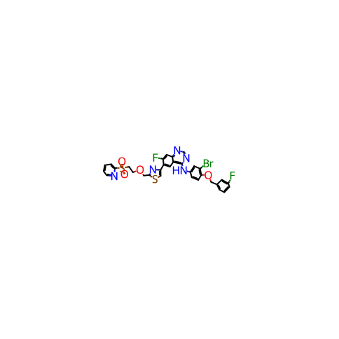 O=S(=O)(CCOCc1nc(-c2cc3c(Nc4ccc(OCc5cccc(F)c5)c(Br)c4)ncnc3cc2F)cs1)c1ccccn1